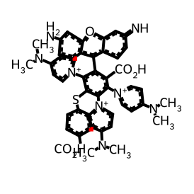 CN(C)c1cc[n+](-c2c(Sc3ccc(C(=O)O)cc3)c(-[n+]3ccc(N(C)C)cc3)c(-[n+]3ccc(N(C)C)cc3)c(C(=O)O)c2-c2c3ccc(=N)cc-3oc3cc(N)ccc23)cc1